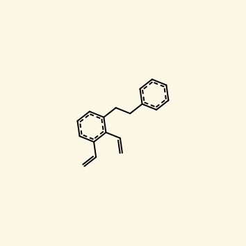 C=Cc1cccc(CCc2ccccc2)c1C=C